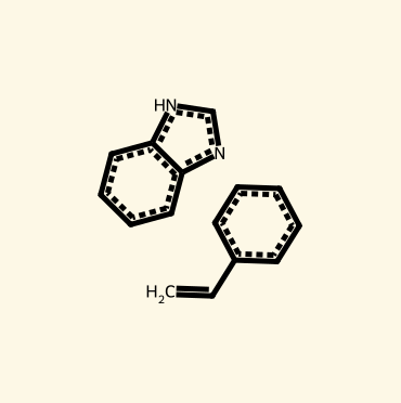 C=Cc1ccccc1.c1ccc2[nH]cnc2c1